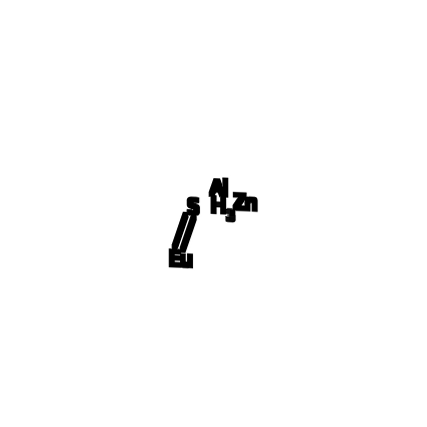 [AlH3].[S]=[Eu].[Zn]